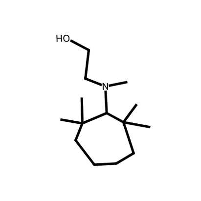 CN(CCO)C1C(C)(C)CCCCC1(C)C